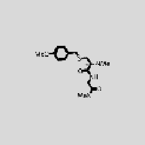 CNC(=O)CNC(=O)[C@H](CSCc1ccc(OC)cc1)NC